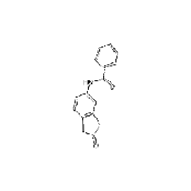 O=C1Cc2cc(NC(=O)c3ccccc3)cnc2C1